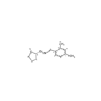 Cc1ccc(C=NOC2CCCO2)c(C)c1